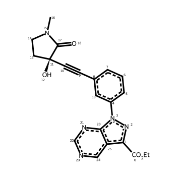 CCOC(=O)c1nn(-c2cccc(C#C[C@]3(O)CCN(C)C3=O)c2)c2ncncc12